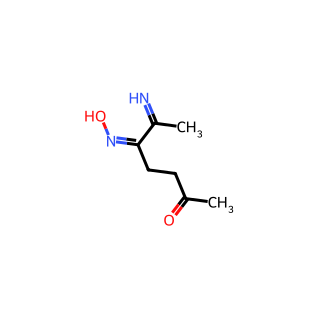 CC(=N)/C(CCC(C)=O)=N\O